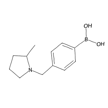 CC1CCCN1Cc1ccc(B(O)O)cc1